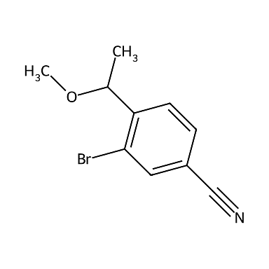 COC(C)c1ccc(C#N)cc1Br